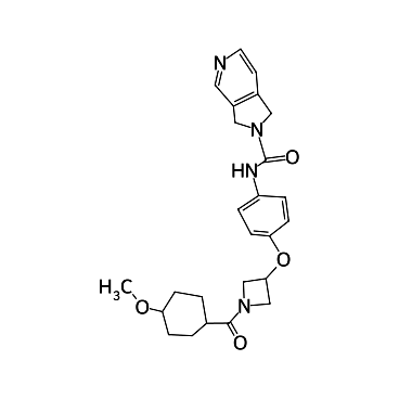 COC1CCC(C(=O)N2CC(Oc3ccc(NC(=O)N4Cc5ccncc5C4)cc3)C2)CC1